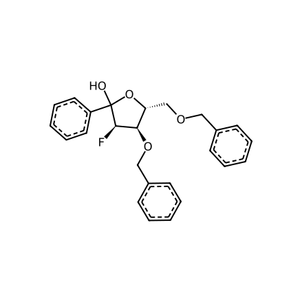 OC1(c2ccccc2)O[C@H](COCc2ccccc2)[C@@H](OCc2ccccc2)[C@H]1F